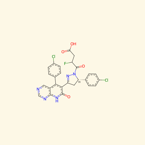 O=C(O)CC(F)C(=O)N1N=C(c2c(-c3ccc(Cl)cc3)c3cncnc3[nH]c2=O)C[C@H]1c1ccc(Cl)cc1